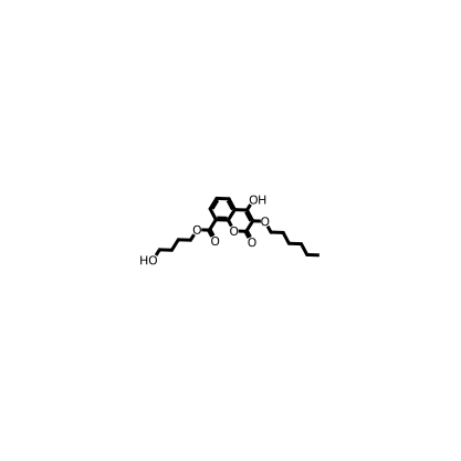 CCCCCCOc1c(O)c2cccc(C(=O)OCCCCO)c2oc1=O